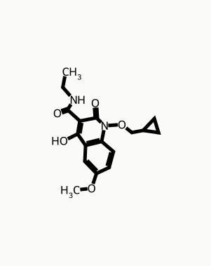 CCNC(=O)c1c(O)c2cc(OC)ccc2n(OCC2CC2)c1=O